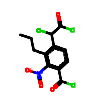 CCCc1c(C(Cl)C(=O)Cl)ccc(C(=O)Cl)c1[N+](=O)[O-]